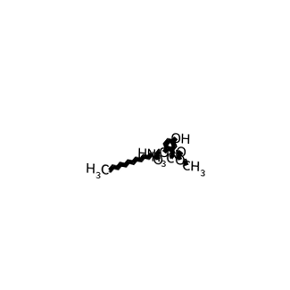 CCCCCCCCCCCCNC(=O)COc1ccc(O)cc1N(C)C(=O)OCC